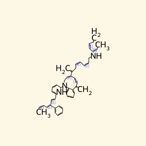 C=C/C=C\C(=C/C)NC/C=C\C=C/CC(=C)C1=C/CN(C2C=CC=C(/C=C/C(=C\C=C/C)c3ccccc3)N2)c2ccccc2C(=C)/C=C\1